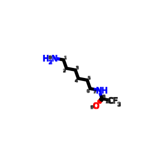 NCCCCCCNC(=O)C(F)(F)F